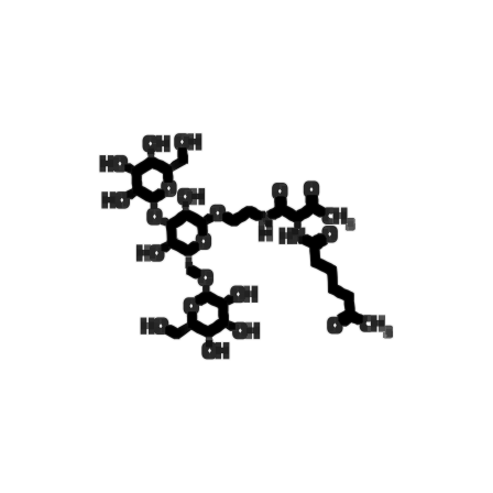 CC(=O)CCCCC(=O)N[C@@H](C(C)=O)C(=O)NCCO[C@H]1O[C@H](CO[C@H]2O[C@H](CO)[C@@H](O)[C@H](O)[C@@H]2O)[C@@H](O)[C@H](O[C@H]2O[C@H](CO)[C@@H](O)[C@H](O)[C@@H]2O)[C@@H]1O